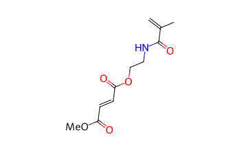 C=C(C)C(=O)NCCOC(=O)/C=C/C(=O)OC